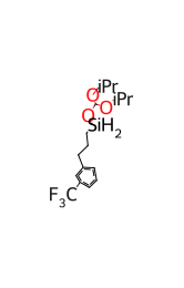 CC(C)OC(O[SiH2]CCCc1cccc(C(F)(F)F)c1)OC(C)C